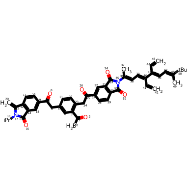 BC(=O)c1cc(CC(=O)c2ccc3c(c2)C(=O)N(C(C)C)C3=C)ccc1CC(=O)c1ccc2c(c1)C(=O)N(/C(C)=C/C=C(C=C)/C(C=C)=C/C=C(\C)C(C)(C)C)C2=O